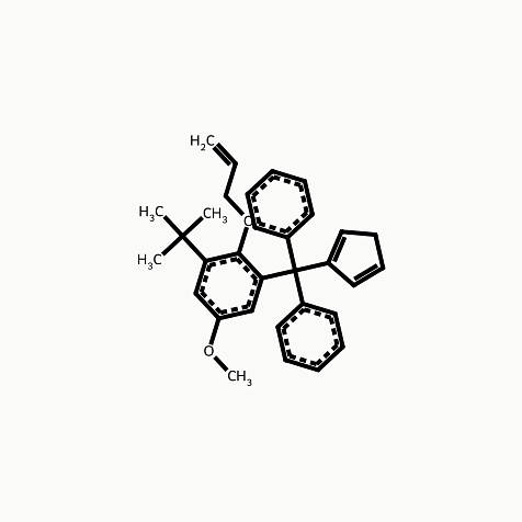 C=CCOc1c(C(C)(C)C)cc(OC)cc1C(C1=CCC=C1)(c1ccccc1)c1ccccc1